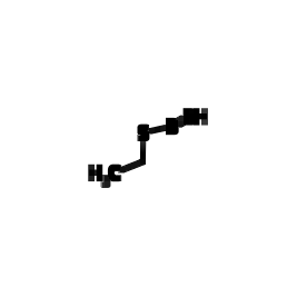 B=BSCC